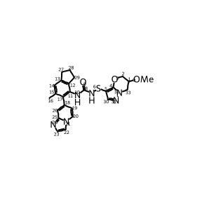 COC1COc2c(SNC(=O)Nc3c4c(cc(C)c3-c3ccn5ccnc5c3)CCC4)cnn2C1